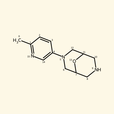 Cc1ccc(N2CC3CNCC(C2)O3)cn1